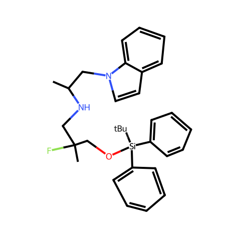 CC(Cn1ccc2ccccc21)NCC(C)(F)CO[Si](c1ccccc1)(c1ccccc1)C(C)(C)C